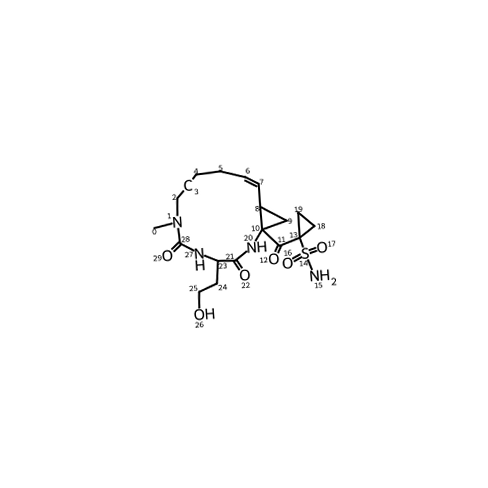 CN1CCCCC=CC2CC2(C(=O)C2(S(N)(=O)=O)CC2)NC(=O)C(CCO)NC1=O